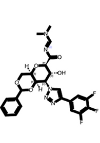 CN(C)/C=N/C(=O)[C@@H]1O[C@@H]2COC(c3ccccc3)O[C@@H]2[C@H](n2cc(-c3cc(F)c(F)c(F)c3)nn2)[C@H]1O